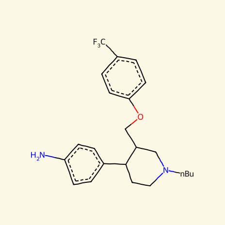 CCCCN1CCC(c2ccc(N)cc2)C(COc2ccc(C(F)(F)F)cc2)C1